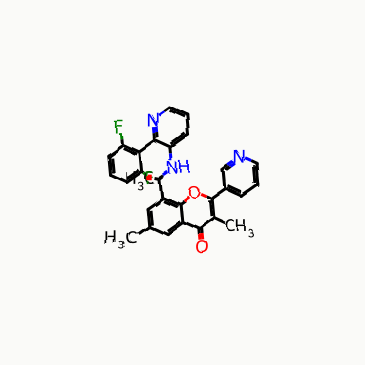 Cc1cc(C(C)Nc2cccnc2-c2c(F)cccc2F)c2oc(-c3cccnc3)c(C)c(=O)c2c1